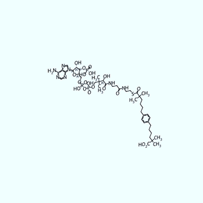 CC(C)(CCCCc1ccc(CCCCC(C)(C)C(=O)SCCNC(=O)CCNC(=O)[C@H](O)C(C)(C)COP(=O)(O)OP(=O)(O)OC[C@H]2O[C@@H](n3cnc4c(N)ncnc43)[C@H](O)[C@@H]2OP(=O)(O)O)cc1)C(=O)O